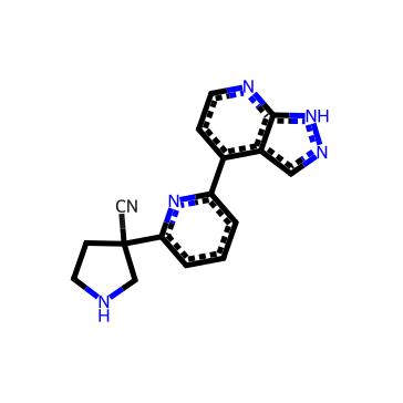 N#CC1(c2cccc(-c3ccnc4[nH]ncc34)n2)CCNC1